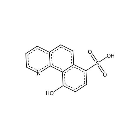 O=S(=O)(O)c1ccc(O)c2c1ccc1cccnc12